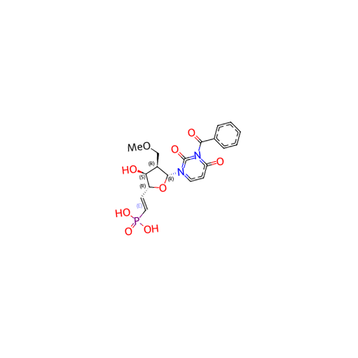 COC[C@@H]1[C@H](O)[C@@H](/C=C/P(=O)(O)O)O[C@H]1n1ccc(=O)n(C(=O)c2ccccc2)c1=O